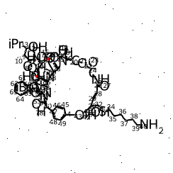 CC[C@H](C)C1NC(=O)[C@@H](NC(=O)[C@H](C)[C@H](O)C(C)C)[C@@H](C)OC(=O)[C@@H]2COC(=O)CNC(=O)/C=C/[C@](O)(CSCCCCCCN)[C@@H](C)Oc3ccc(cc3)[C@H](NC1=O)C(=O)N(C)[C@@H](Cc1ccccc1)C(=O)N[C@H]([C@@H](C)O)C(=O)N2